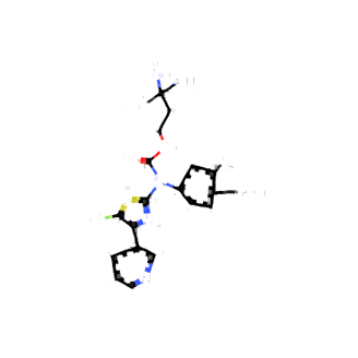 CCCCCCCCc1ccc(N(C(=O)OCCC(C)(N)C(=O)O)c2nc(-c3cccnc3)c(F)s2)cc1C(F)(F)F